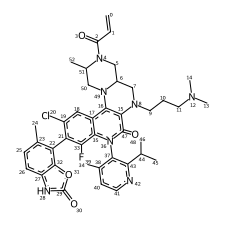 C=CC(=O)N1CC2CN(CCCN(C)C)c3c(c4cc(Cl)c(-c5c(C)ccc6[nH]c(=O)oc56)c(F)c4n(-c4c(C)ccnc4C(C)C)c3=O)N2CC1C